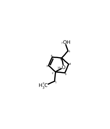 CCC12C=CC(CO)(CC1)O2